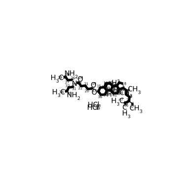 CC[C@H](CC[C@@H](C)[C@H]1CC[C@H]2[C@@H]3CC=C4C[C@@H](OC(=O)CCCC(=O)N(CCC(C)N)CCC(C)N)CC[C@]4(C)[C@H]3CC[C@]12C)C(C)C.Cl.Cl